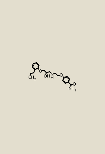 C=CCc1ccccc1OCC(O)CNCCOc1ccc(C(N)=O)cc1